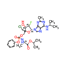 Cc1nc(NC(C)C)c2ncn([C@@H]3O[C@](CCl)(CO[P@](=O)(N[C@@H](C)C(=O)OC(C)C)Oc4ccccc4)[C@@H](O)[C@H]3F)c2n1